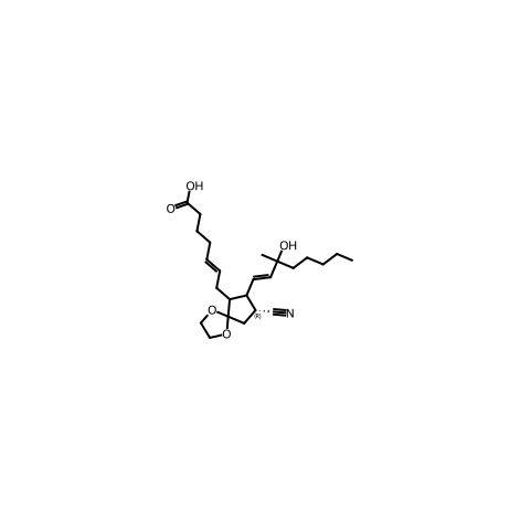 CCCCCC(C)(O)C=CC1C(CC=CCCCC(=O)O)C2(C[C@H]1C#N)OCCO2